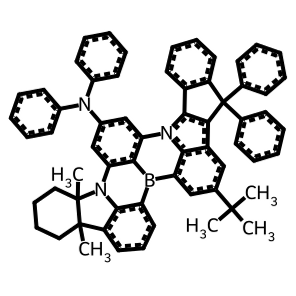 CC(C)(C)c1cc2c3c(c1)c1c(n3-c3cc(N(c4ccccc4)c4ccccc4)cc4c3B2c2cccc3c2N4C2(C)CCCCC32C)-c2ccccc2C1(c1ccccc1)c1ccccc1